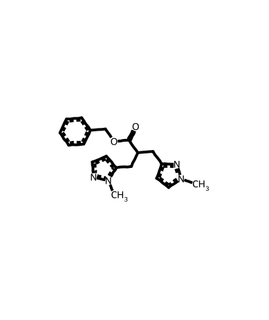 Cn1ccc(CC(Cc2ccnn2C)C(=O)OCc2ccccc2)n1